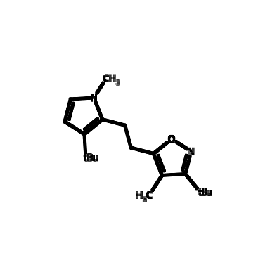 Cc1c(C(C)(C)C)noc1CCc1c(C(C)(C)C)ccn1C